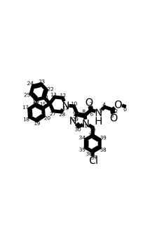 COC(=O)CNC(=O)c1c(CN2CCC(c3ccccc3)(c3ccccc3)CC2)ncn1Cc1ccc(Cl)cc1